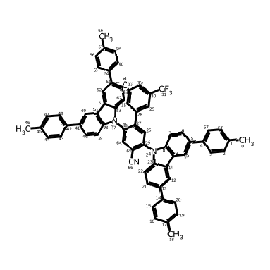 Cc1ccc(-c2ccc3c(c2)c2cc(-c4ccc(C)cc4)ccc2n3-c2cc(-c3cc(C(F)(F)F)cc(C(F)(F)F)c3)c(-n3c4ccc(-c5ccc(C)cc5)cc4c4cc(-c5ccc(C)cc5)ccc43)cc2C#N)cc1